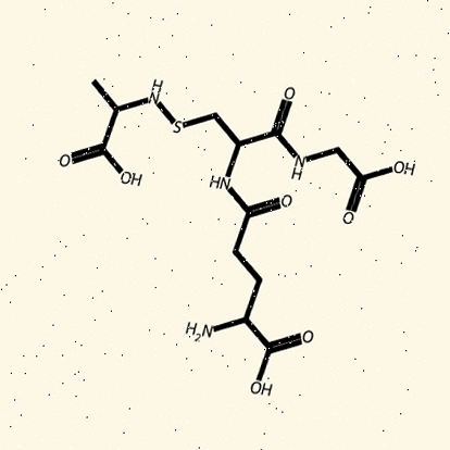 CC(NSCC(NC(=O)CCC(N)C(=O)O)C(=O)NCC(=O)O)C(=O)O